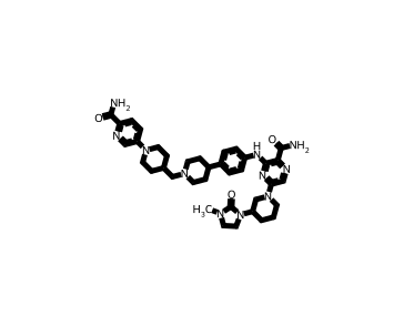 CN1CCN(C2CCCN(c3cnc(C(N)=O)c(Nc4ccc(C5CCN(CC6CCN(c7ccc(C(N)=O)nc7)CC6)CC5)cc4)n3)C2)C1=O